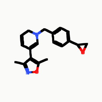 Cc1noc(C)c1C1=CN(Cc2ccc(C3CO3)cc2)CC=C1